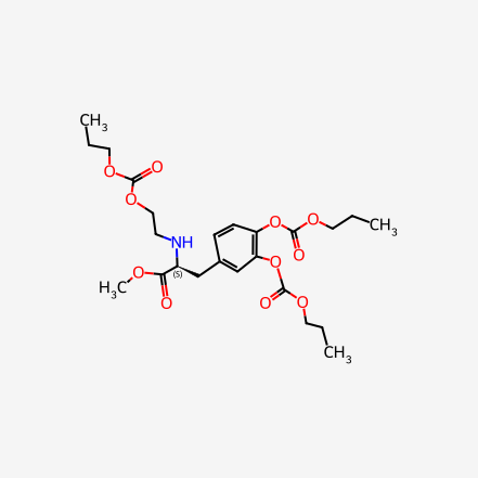 CCCOC(=O)OCCN[C@@H](Cc1ccc(OC(=O)OCCC)c(OC(=O)OCCC)c1)C(=O)OC